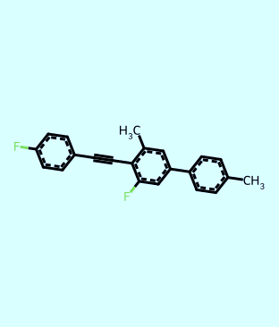 Cc1ccc(-c2cc(C)c(C#Cc3ccc(F)cc3)c(F)c2)cc1